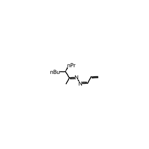 C=C/C=N\N=C(/C)[C@H](CCC)CCCC